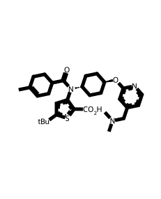 CC1=CCC(C(=O)N(c2cc(C(C)(C)C)sc2C(=O)O)[C@H]2CC[C@H](Oc3cc(CN(C)C)ccn3)CC2)CC1